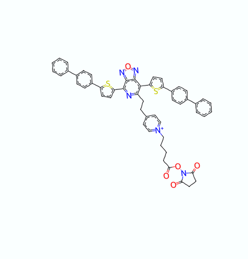 O=C(CCCC[n+]1ccc(CCc2nc(-c3ccc(-c4ccc(-c5ccccc5)cc4)s3)c3nonc3c2-c2ccc(-c3ccc(-c4ccccc4)cc3)s2)cc1)ON1C(=O)CCC1=O